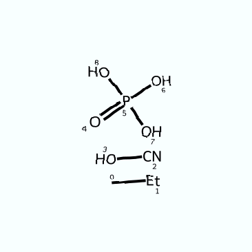 CCC.N#CO.O=P(O)(O)O